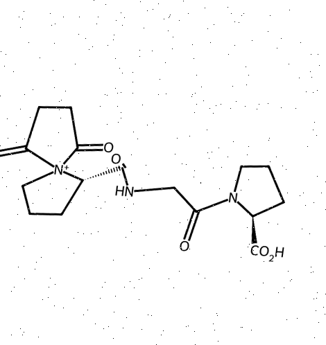 O=C(O)[C@@H]1CCCN1C(=O)CNC(=O)[C@@H]1CCC[N+]12C(=O)CCC2=O